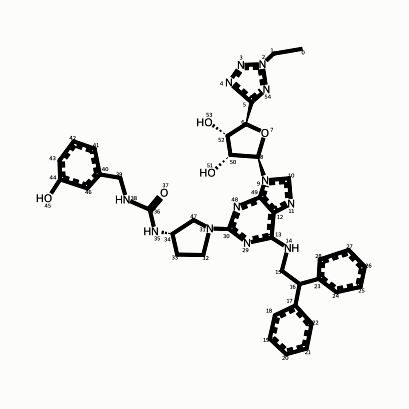 CCn1nnc([C@H]2O[C@@H](n3cnc4c(NCC(c5ccccc5)c5ccccc5)nc(N5CC[C@H](NC(=O)NCc6cccc(O)c6)C5)nc43)[C@H](O)[C@@H]2O)n1